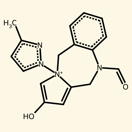 Cc1ccn([N+]23C=C(O)C=C2CN(C=O)c2ccccc2C3)n1